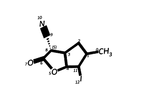 CC1CC2C(OC(=O)[C@@H]2C#N)C1I